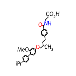 COc1cc(OCC(C)CCc2ccc(C(=O)NCCC(=O)O)cc2)ccc1-c1ccc(C(C)C)cc1